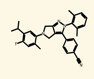 Cc1cc(F)c(C(C)C)cc1N1Cc2nn(-c3c(C)cccc3C)c(-c3ccc(C#N)cc3)c2C1